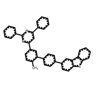 Cc1ccc(-c2cc(-c3ccccc3)nc(-c3ccccc3)n2)cc1-c1ccc(-c2ccc3sc4ccccc4c3c2)cc1